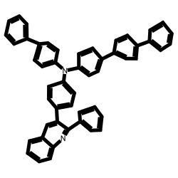 c1ccc(-c2ccc(-c3ccc(N(c4ccc(-c5ccccc5)cc4)c4ccc(-c5cc6ccccc6nc5-c5ccccc5)cc4)cc3)cc2)cc1